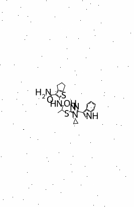 CC(Sc1nnc(-c2c[nH]c3ccccc23)n1C1CC1)C(O)Nc1sc2c(c1C(N)=O)CCC2